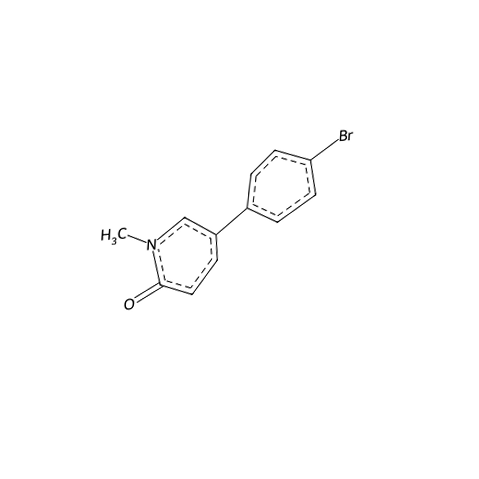 Cn1cc(-c2ccc(Br)cc2)ccc1=O